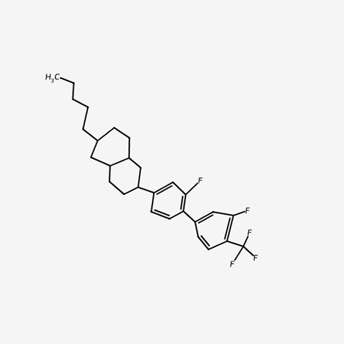 CCCCCC1CCC2CC(c3ccc(-c4ccc(C(F)(F)F)c(F)c4)c(F)c3)CCC2C1